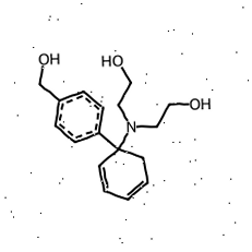 OCCN(CCO)C1(c2ccc(CO)cc2)C=CC=CC1